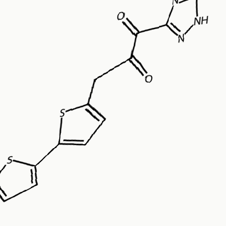 O=C(Cc1ccc(-c2cccs2)s1)C(=O)c1nc[nH]n1